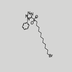 O=S(=O)(CCCCCCCCCCCCBr)c1nnnn1-c1ccccc1